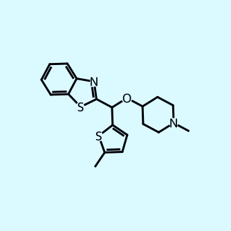 Cc1ccc(C(OC2CCN(C)CC2)c2nc3ccccc3s2)s1